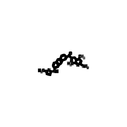 Cc1cc(N)nc(C)c1CNC(=O)c1ccc2c(c1)c1oc2c2ccc(Nc3ccn(C)n3)cc21